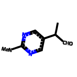 CNc1ncc(C(C)C=O)cn1